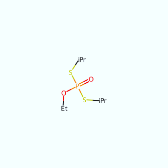 CCOP(=O)(SC(C)C)SC(C)C